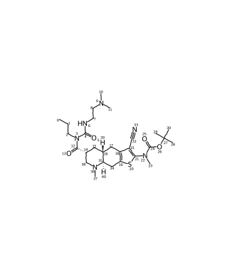 CCCN(C(=O)NCCN(C)C)C(=O)[C@@H]1C[C@@H]2Cc3c(sc(N(C)C(=O)OC(C)(C)C)c3C#N)C[C@H]2N(C)C1